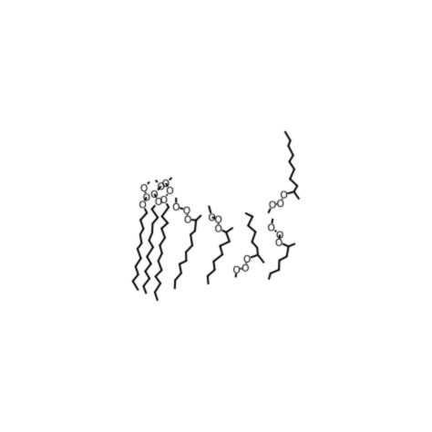 CCCCCC(C)OOOC.CCCCCCC(C)OOOC.CCCCCCCC(C)OOOC.CCCCCCCCC(C)OOOC.CCCCCCCCCC(C)OOOC.CCCCCCCCCCCCCOOOC.CCCCCCCCCCCCOOOC.CCCCCCCCCCCOOOC